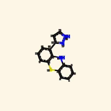 c1ccc2c(c1)Nc1c(cccc1-c1cc[nH]n1)S2